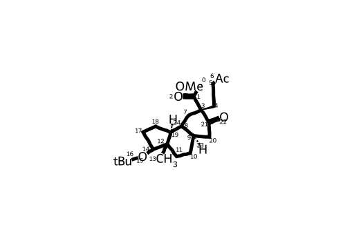 COC(=O)[C@@]1(CCC(C)=O)CC2[C@H](CCC3(C)C(OC(C)(C)C)CC[C@@H]23)CC1=O